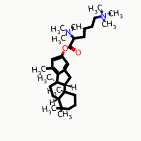 Cc1cc(OC(=O)C(CCCC[N+](C)(C)C)[N+](C)(C)C)cc2c1[C@]1(C)CC[C@H]3C(C)(C)CCC[C@]3(C)[C@H]1C2